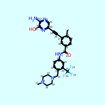 Cc1ccc(C(=O)Nc2ccc(CN3CCN(C)CC3)c(C(F)(F)F)c2)cc1C#Cc1cnc(N)c(O)n1